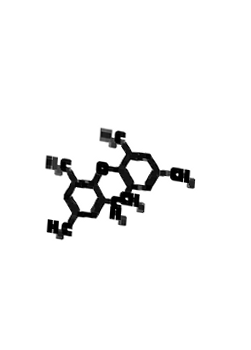 Cc1cc(C)c(Oc2c(C)cc(C)cc2C)c(C)c1